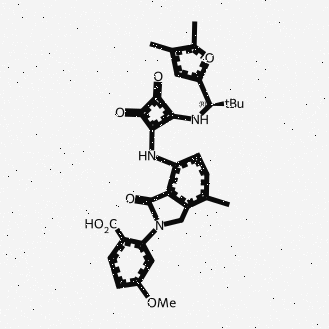 COc1ccc(C(=O)O)c(N2Cc3c(C)ccc(Nc4c(N[C@@H](c5cc(C)c(C)o5)C(C)(C)C)c(=O)c4=O)c3C2=O)c1